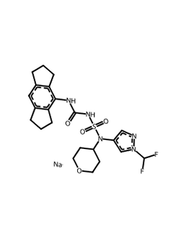 O=C(Nc1c2c(cc3c1CCC3)CCC2)NS(=O)(=O)N(c1cnn(C(F)F)c1)C1CCOCC1.[Na]